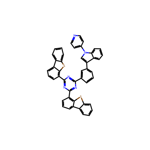 c1cc(-c2nc(-c3cccc4c3sc3ccccc34)nc(-c3cccc4c3sc3ccccc34)n2)cc(-c2cn(-c3ccncc3)c3ccccc23)c1